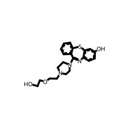 OCCOCCN1CCN(C2=Nc3ccc(O)cc3Sc3ccccc32)CC1